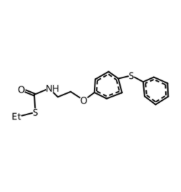 CCSC(=O)NCCOc1ccc(Sc2ccccc2)cc1